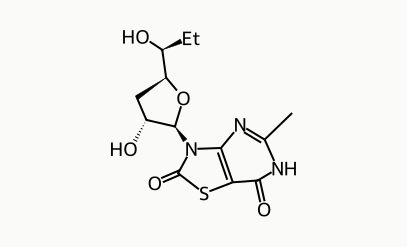 CC[C@H](O)[C@@H]1C[C@@H](O)[C@H](n2c(=O)sc3c(=O)[nH]c(C)nc32)O1